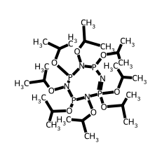 CC(C)ON1P(OC(C)C)N=P(OC(C)C)(OC(C)C)N(OC(C)C)P(OC(C)C)N(OC(C)C)P1OC(C)C